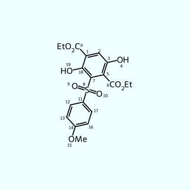 CCOC(=O)c1cc(O)c(C(=O)OCC)c(S(=O)(=O)c2ccc(OC)cc2)c1O